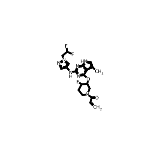 C=CC(=O)N1CCC(F)C(Oc2nc(Nc3cnn(CC(F)F)c3)nc3[nH]cc(C)c23)C1